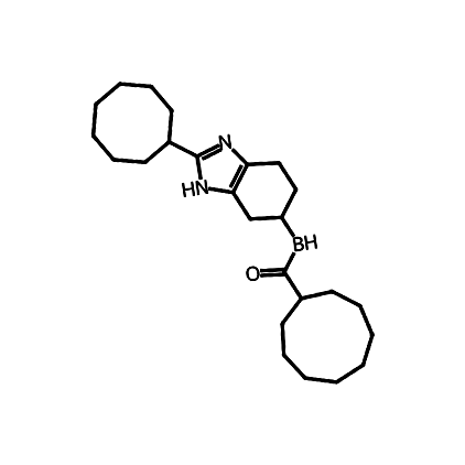 O=C(BC1CCc2nc(C3CCCCCCC3)[nH]c2C1)C1CCCCCCCC1